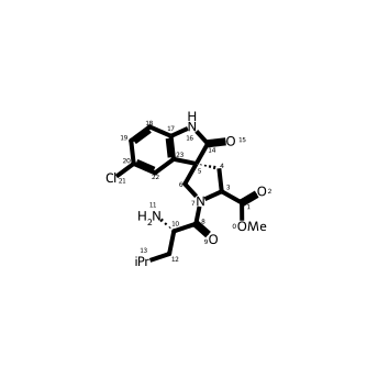 COC(=O)C1C[C@@]2(CN1C(=O)[C@@H](N)CC(C)C)C(=O)Nc1ccc(Cl)cc12